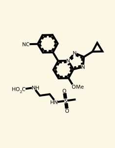 COc1ccc(-c2cccc(C#N)c2)n2nc(C3CC3)nc12.CS(=O)(=O)NCCNC(=O)O